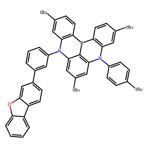 CC(C)(C)c1ccc(N2c3cc(C(C)(C)C)ccc3B3c4ccc(C(C)(C)C)cc4N(c4cccc(-c5ccc6c(c5)oc5ccccc56)c4)c4cc(C(C)(C)C)cc2c43)cc1